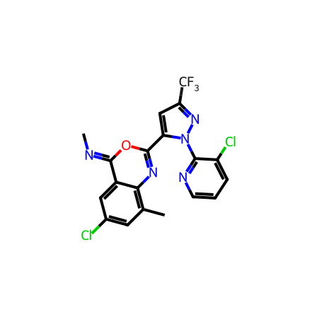 CN=c1oc(-c2cc(C(F)(F)F)nn2-c2ncccc2Cl)nc2c(C)cc(Cl)cc12